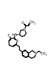 C=CC(=O)N1CCC[C@@H](NC2=NC(CCc3ccc4c(c3)CN(CC)CC4)=CCC=C2F)C1